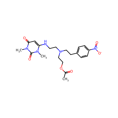 CC(=O)OCCN(CCNc1cc(=O)n(C)c(=O)n1C)CCc1ccc([N+](=O)[O-])cc1